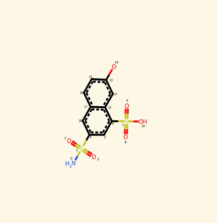 NS(=O)(=O)c1cc(S(=O)(=O)O)c2cc([O])ccc2c1